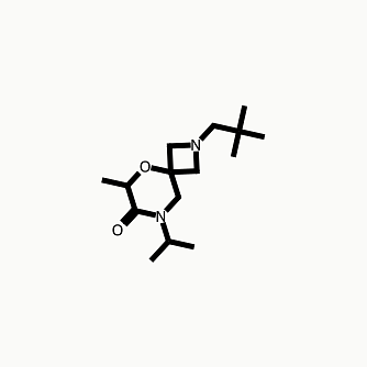 CC1OC2(CN(CC(C)(C)C)C2)CN(C(C)C)C1=O